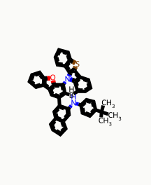 CC(C)(C)c1ccc(Nc2cc3ccccc3cc2-c2cc3c(oc4ccccc43)c3c2Bc2cccc4c5sc6ccccc6c5n-3c24)cc1